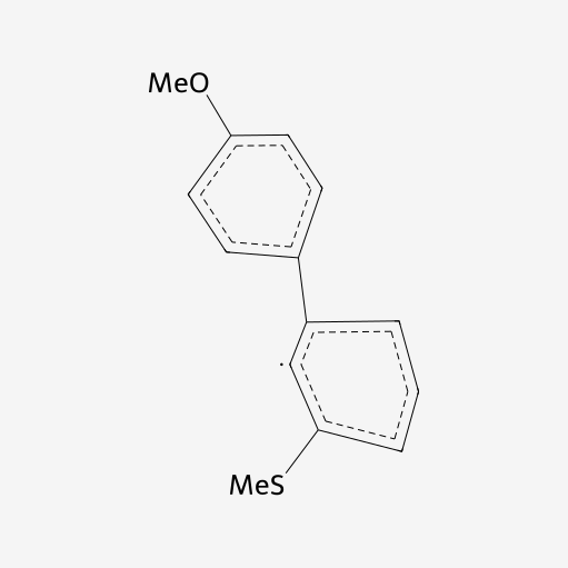 COc1ccc(-c2[c]c(SC)ccc2)cc1